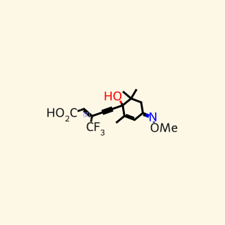 CON=C1C=C(C)C(O)(C#C/C(=C/C(=O)O)C(F)(F)F)C(C)(C)C1